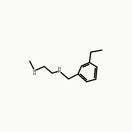 CCc1cccc(CNCCNC)c1